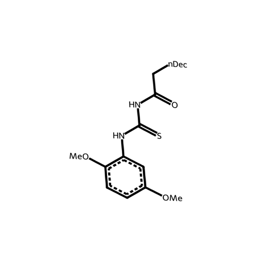 CCCCCCCCCCCC(=O)NC(=S)Nc1cc(OC)ccc1OC